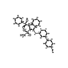 NS(=O)(=O)c1c(Cc2cccc(-c3ccc(F)cc3)c2)c2ccccc2n1S(=O)(=O)c1ccccc1